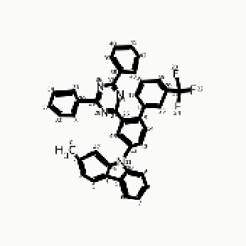 Cc1ccc2c3ccccc3n(-c3ccc(-c4cccc(C(F)(F)F)c4)c(-c4nc(-c5ccccc5)nc(-c5ccccc5)n4)c3)c2c1